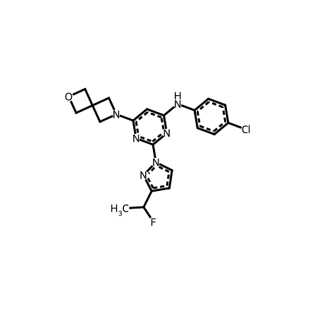 CC(F)c1ccn(-c2nc(Nc3ccc(Cl)cc3)cc(N3CC4(COC4)C3)n2)n1